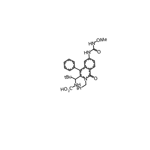 CONC(=O)Nc1ccc2c(=O)n(CC(C)C)c(C(NC(=O)O)C(C)(C)C)c(-c3ccccc3)c2c1